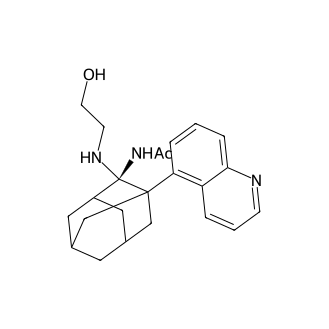 CC(=O)N[C@]1(NCCO)C2CC3CC(C2)CC1(c1cccc2ncccc12)C3